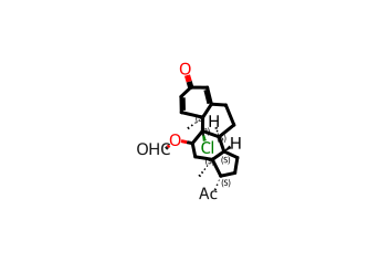 CC(=O)[C@H]1CC[C@H]2[C@@H]3CCC4=CC(=O)C=C[C@]4(C)[C@@]3(Cl)C(OC=O)C[C@]12C